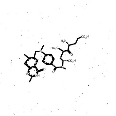 Cc1nc2cc(C)c(CN(C)c3ccc(C(=O)N(C)[C@@H](CC(C(=O)O)C(=O)[C@@H](N)CCC(=O)O)C(=O)O)cc3)cc2c(=O)[nH]1